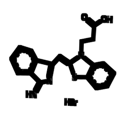 Br.N=C1N=C(C=C2Sc3ccccc3N2CCC(=O)O)c2ccccc21